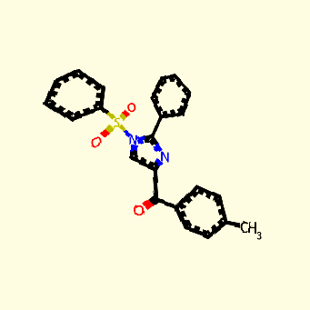 Cc1ccc(C(=O)c2cn(S(=O)(=O)c3ccccc3)c(-c3ccccc3)n2)cc1